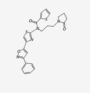 O=C1CCCN1CCCN(C(=O)c1cccs1)c1nc(-c2cc(-c3ccccc3)no2)cs1